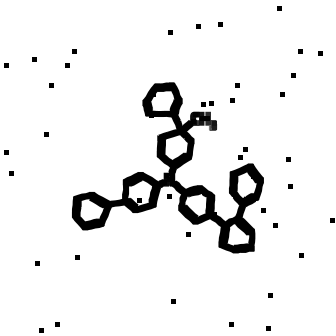 CC1(c2ccccc2)C=CC(N(c2ccc(-c3ccccc3)cc2)c2ccc(-c3ccccc3-c3ccccc3)cc2)=CC1